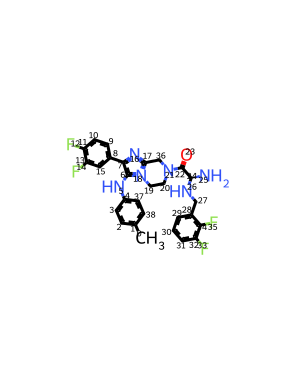 Cc1ccc(Nc2c(-c3ccc(F)c(F)c3)nc3n2CCN(C(=O)[C@@H](N)NCc2cccc(F)c2F)C3)cc1